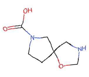 O=C(O)N1CCC2(CNCO2)C1